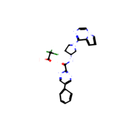 O=C(N[C@H]1CCN(c2nccn3cccc23)C1)c1ncc(-c2ccccc2)cn1.O=C(O)C(F)(F)F